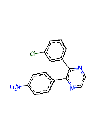 Nc1ccc(-c2nccnc2-c2cccc(Cl)c2)cc1